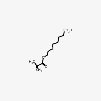 C=C(C)C(=O)OCCSCCCCC(=O)O